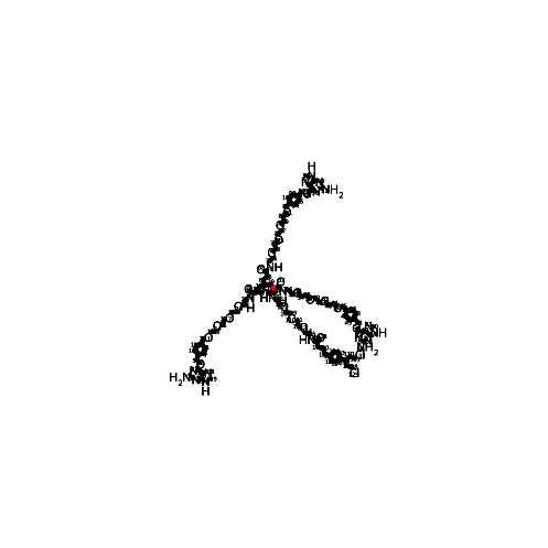 Nc1nc(OCc2ccc(COCCOCCOCCOCCNC(=O)CCC(CCC(=O)NCCOCCOCCOCCOCc3ccc(COc4nc(N)nc5[nH]cnc45)cc3)(CCC(=O)NCCOCCOCCOCCOCc3ccc(COc4nc(N)nc5[nH]cnc45)cc3)NC(=O)NCCOCCOCCOCCNC(=O)CCCc3ccc(C(CCCl)CCCl)cc3)cc2)c2nc[nH]c2n1